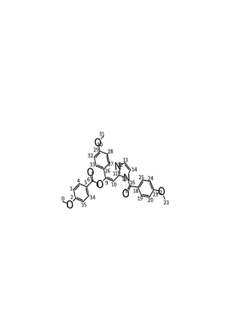 COc1ccc(C(=O)O/C(=C/c2nccn2C(=O)c2ccc(OC)cc2)c2ccc(OC)cc2)cc1